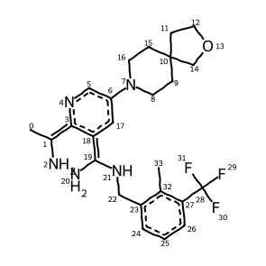 C/C(N)=c1\ncc(N2CCC3(CCOC3)CC2)c\c1=C(\N)NCc1cccc(C(F)(F)F)c1C